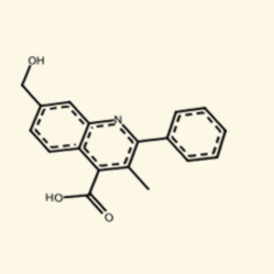 Cc1c(-c2ccccc2)nc2cc(CO)ccc2c1C(=O)O